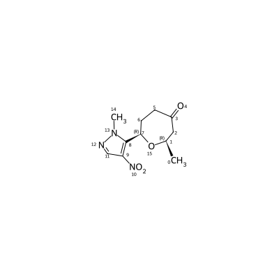 C[C@@H]1CC(=O)CC[C@H](c2c([N+](=O)[O-])cnn2C)O1